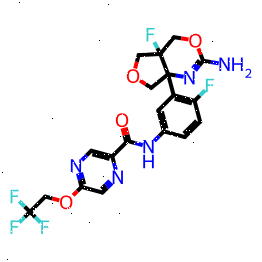 NC1=NC2(c3cc(NC(=O)c4cnc(OCC(F)(F)F)cn4)ccc3F)COCC2(F)CO1